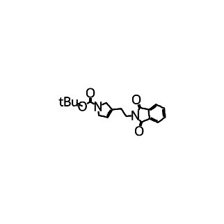 CC(C)(C)OC(=O)N1CC=C(CCN2C(=O)c3ccccc3C2=O)C1